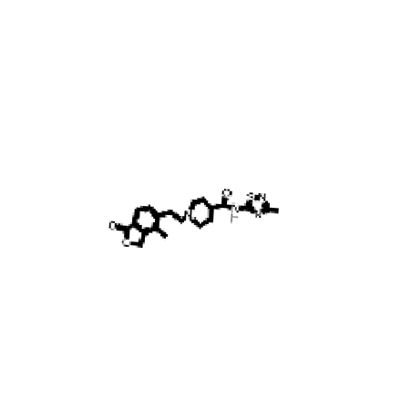 Cc1nsc(NC(=O)C2CCN(CCc3ccc4c(c3C)COC4=O)CC2)n1